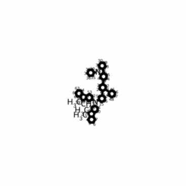 CC1(C)c2ccccc2-c2ccc(N(c3cccc(-c4ccc(-c5ccc6c7ccccc7n(-c7ccccc7)c6c5)cc4-c4ccccc4)c3)c3ccc4c(c3)C(C)(C)c3ccccc3-4)cc21